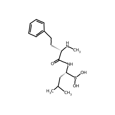 CN[C@@H](CCc1ccccc1)C(=O)N[C@@H](CC(C)C)B(O)O